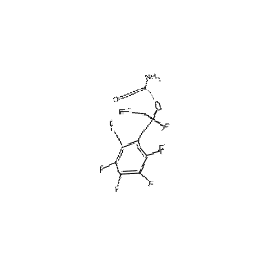 NC(=O)OC(F)(F)c1c(F)c(F)c(F)c(F)c1F